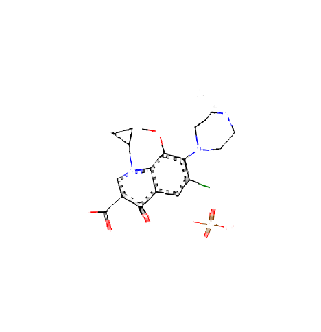 COc1c(N2CCN[C@@H](C)C2)c(F)cc2c(=O)c(C(=O)O)cn(C3CC3)c12.O=S(=O)(O)O